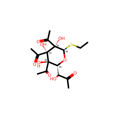 CCS[C@H]1O[C@H](C(O)C(C)=O)[C@](O)(C(C)=O)[C@@](O)(C(C)=O)[C@@]1(O)C(C)=O